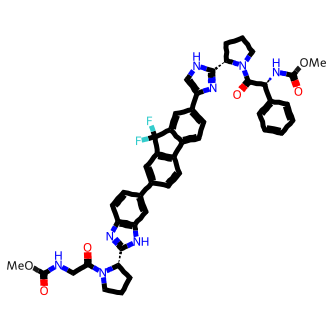 COC(=O)NCC(=O)N1CCC[C@H]1c1nc2ccc(-c3ccc4c(c3)C(F)(F)c3cc(-c5c[nH]c([C@@H]6CCCN6C(=O)[C@H](NC(=O)OC)c6ccccc6)n5)ccc3-4)cc2[nH]1